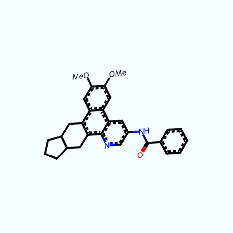 COc1cc2c3c(c4ncc(NC(=O)c5ccccc5)cc4c2cc1OC)CC1CCCC1C3